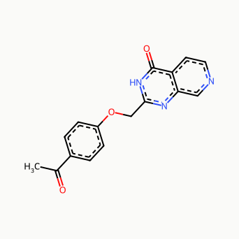 CC(=O)c1ccc(OCc2nc3cnccc3c(=O)[nH]2)cc1